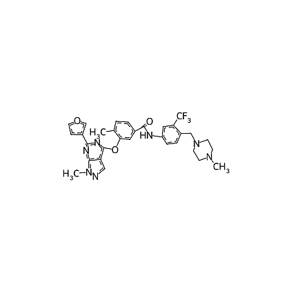 Cc1ccc(C(=O)Nc2ccc(CN3CCN(C)CC3)c(C(F)(F)F)c2)cc1Oc1nc(-c2ccoc2)nc2c1cnn2C